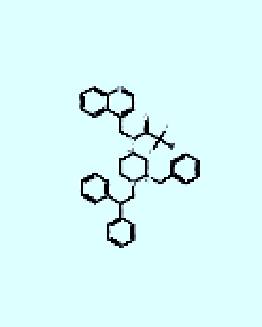 O=C(N(Cc1ccnc2ccccc12)[C@H]1CCN(CC(c2ccccc2)c2ccccc2)[C@H](Cc2ccccc2)C1)C(F)(F)F